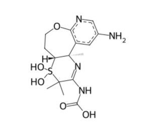 CC1(C)C(NC(=O)O)=N[C@]2(C)c3cc(N)cnc3OCC[C@H]2S1(O)O